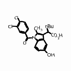 CCCCC(C(=O)O)c1c(C)n(C(=O)c2ccc(Cl)c(Cl)c2)c2ccc(O)cc12